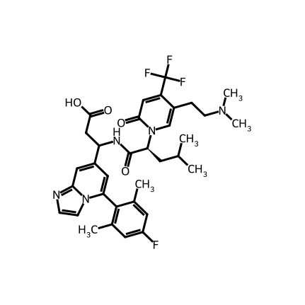 Cc1cc(F)cc(C)c1-c1cc(C(CC(=O)O)NC(=O)[C@H](CC(C)C)n2cc(CCN(C)C)c(C(F)(F)F)cc2=O)cc2nccn12